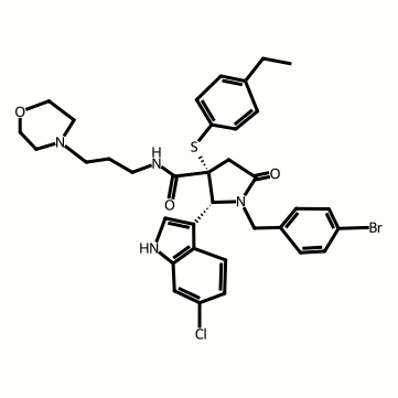 CCc1ccc(S[C@]2(C(=O)NCCCN3CCOCC3)CC(=O)N(Cc3ccc(Br)cc3)[C@@H]2c2c[nH]c3cc(Cl)ccc23)cc1